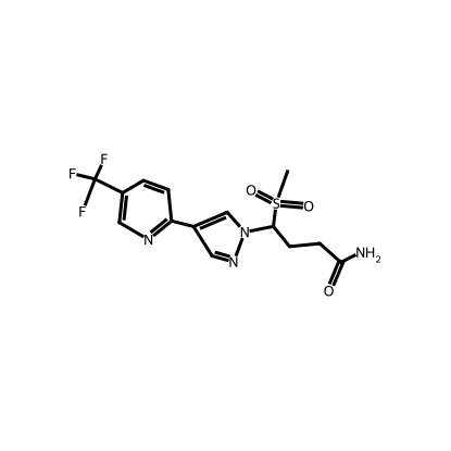 CS(=O)(=O)C(CCC(N)=O)n1cc(-c2ccc(C(F)(F)F)cn2)cn1